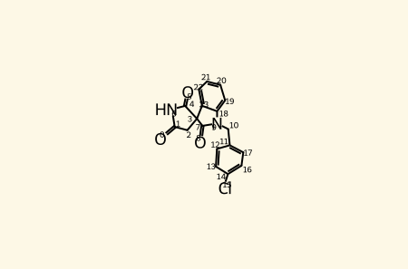 O=C1CC2(C(=O)N1)C(=O)N(Cc1ccc(Cl)cc1)c1ccccc12